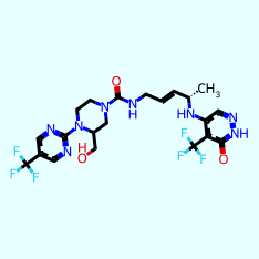 C[C@@H](/C=C/CNC(=O)N1CCN(c2ncc(C(F)(F)F)cn2)C(CO)C1)Nc1cn[nH]c(=O)c1C(F)(F)F